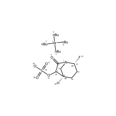 CCCC[N+](CCCC)(CCCC)CCCC.O=C1N2C[C@@H](CC[C@H]2F)N1OS(=O)(=O)[O-]